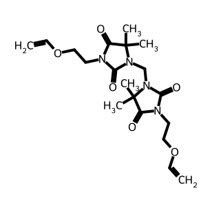 C=COCCN1C(=O)N(CN2C(=O)N(CCOC=C)C(=O)C2(C)C)C(C)(C)C1=O